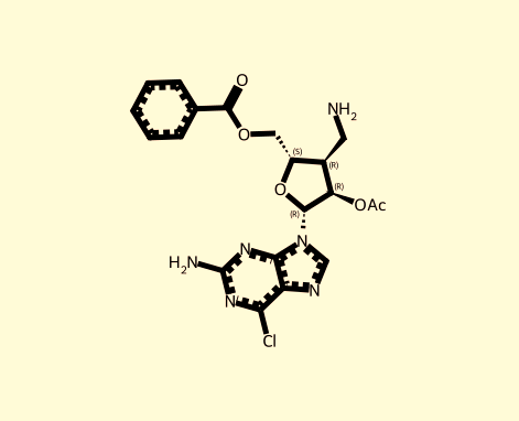 CC(=O)O[C@@H]1[C@H](CN)[C@@H](COC(=O)c2ccccc2)O[C@H]1n1cnc2c(Cl)nc(N)nc21